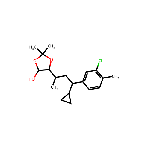 Cc1ccc(C(CC(C)C2OC(C)(C)OC2O)C2CC2)cc1Cl